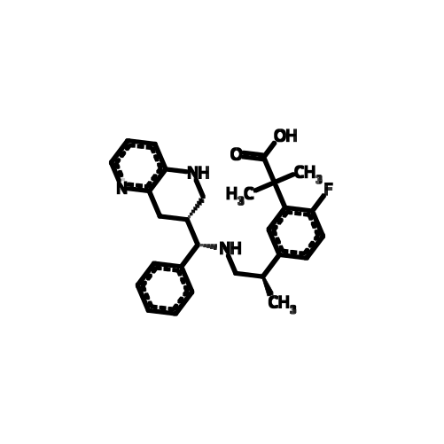 C[C@@H](CN[C@H](c1ccccc1)[C@H]1CNc2cccnc2C1)c1ccc(F)c(C(C)(C)C(=O)O)c1